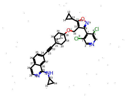 Clc1cncc(Cl)c1-c1noc(C2CC2)c1COC12CCC(C#Cc3ccc4ccnc(NC5CC5)c4c3)(CC1)CC2